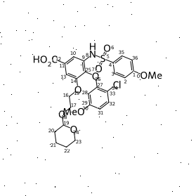 COc1ccc(S(=O)(=O)Nc2cc(C(=O)O)cc(OCCOC3CCCCO3)c2Oc2cc(OC)ccc2Cl)cc1